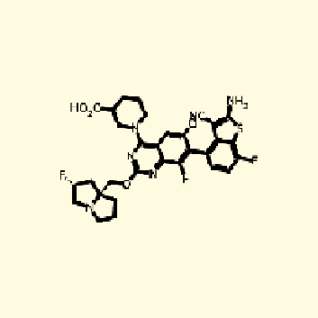 N#Cc1c(N)sc2c(F)ccc(-c3c(Cl)cc4c(N5CCCC(C(=O)O)C5)nc(OC[C@@]56CCCN5C[C@H](F)C6)nc4c3F)c12